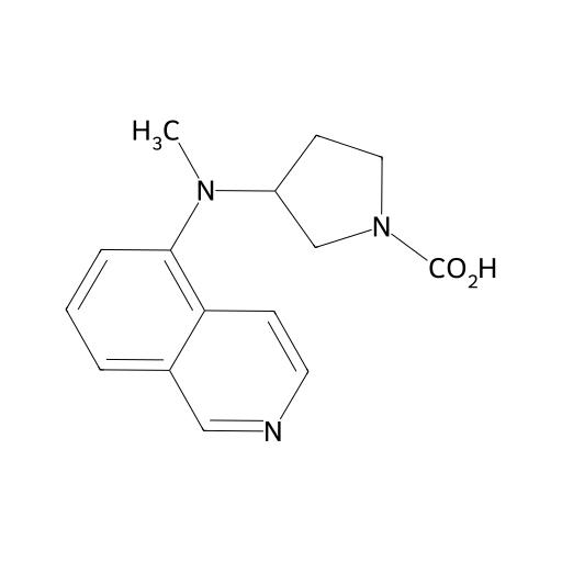 CN(c1cccc2cnccc12)C1CCN(C(=O)O)C1